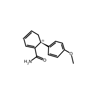 COc1ccc([C@@H]2CC=[C]C=C2C(N)=O)cc1